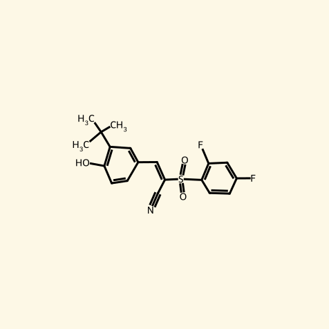 CC(C)(C)c1cc(/C=C(\C#N)S(=O)(=O)c2ccc(F)cc2F)ccc1O